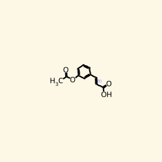 CC(=O)Oc1cccc(/C=C/C(=O)O)c1